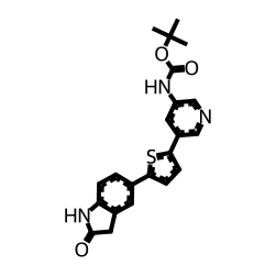 CC(C)(C)OC(=O)Nc1cncc(-c2ccc(-c3ccc4c(c3)CC(=O)N4)s2)c1